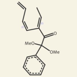 C=C/C=C\C(=C/C)C(=O)C(OC)(OC)c1ccccc1